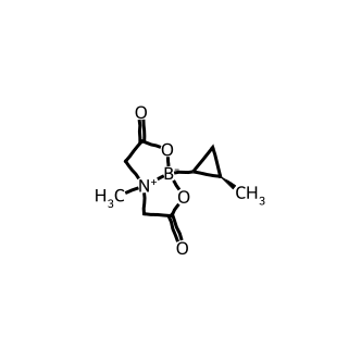 C[C@@H]1CC1[B-]12OC(=O)C[N+]1(C)CC(=O)O2